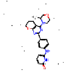 CC1COCCN1c1nc(-c2ccc(Nc3cccc(=O)[nH]3)cc2)nc2c1CCCO2